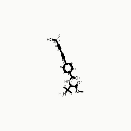 COC(=O)C(NC(=O)c1ccc(C#CC#C[C@@H](C)O)cc1)C(C)(C)N